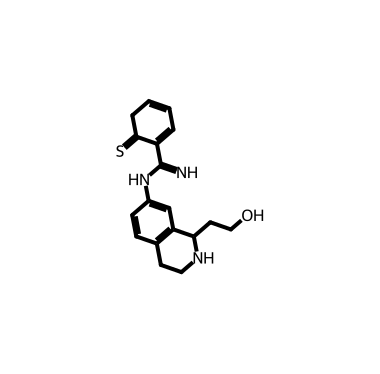 N=C(Nc1ccc2c(c1)C(CCO)NCC2)C1=CC=CCC1=S